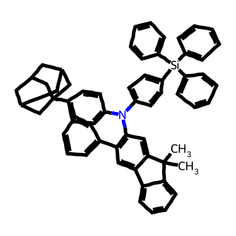 CC1(C)c2ccccc2-c2cc(-c3ccccc3)c(N(c3ccc(C45CC6CC(CC(C6)C4)C5)cc3)c3ccc([Si](c4ccccc4)(c4ccccc4)c4ccccc4)cc3)cc21